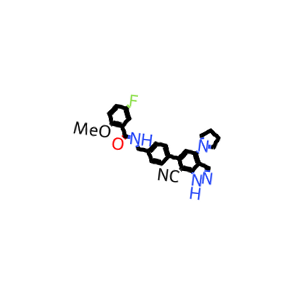 COc1ccc(F)cc1C(=O)NCc1ccc(-c2cc(N3CCCC3)c3cn[nH]c3c2C#N)cc1